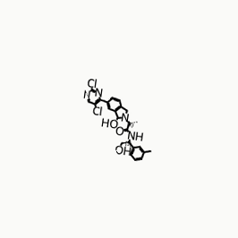 Cc1cccc([C@@H](CO)NC(=O)[C@@H](C)N2Cc3ccc(-c4nc(Cl)ncc4Cl)cc3C2O)c1